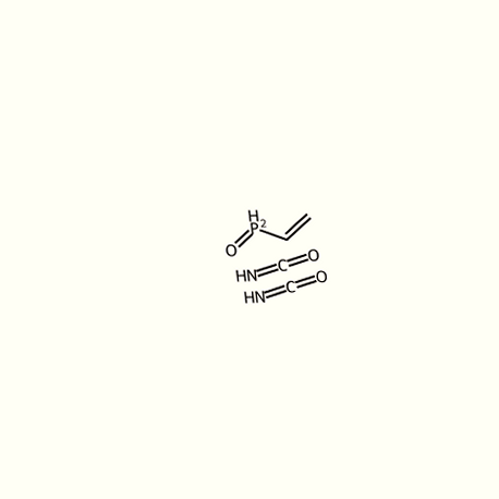 C=C[PH2]=O.N=C=O.N=C=O